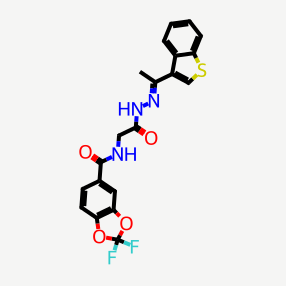 C/C(=N\NC(=O)CNC(=O)c1ccc2c(c1)OC(F)(F)O2)c1csc2ccccc12